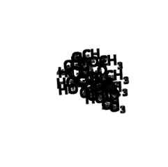 CC(=O)O[C@H]1C[C@H]2[C@@H](C(=O)[C@H](O)[C@@]3(O)C[C@@H]4O[C@@H]4[C@H](OC(C)=O)[C@]23C)[C@@H]2C(=O)[C@@H]3[C@H]([C@H](C)CC4OC(=O)[C@@](C)(O)[C@@]43C)[C@@]12C